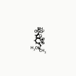 CN(C)CC1CCc2cc(S(N)(=O)=O)oc2S1(=O)=O